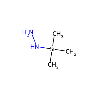 C[Si](C)(C)NN